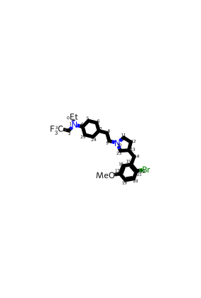 CCN(CC(F)(F)F)C1CCC(CCN2CCC(Cc3cc(OC)ccc3Br)C2)CC1